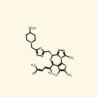 C/C(Cl)=C\C=C(/C)C1=N[C@@H](Cc2nnc(CN3CCC(C(=O)O)CC3)o2)c2nnc(C)n2-c2sc(C)c(C)c21